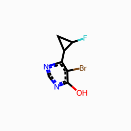 Oc1ncnc(C2CC2F)c1Br